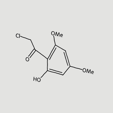 COc1cc(O)c(C(=O)CCl)c(OC)c1